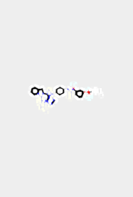 CC(=O)Oc1cccc(C(=O)NC[C@H]2CC[C@H](c3nc(C4Cc5ccccc5N4)c4c(N)nccn43)CC2)c1